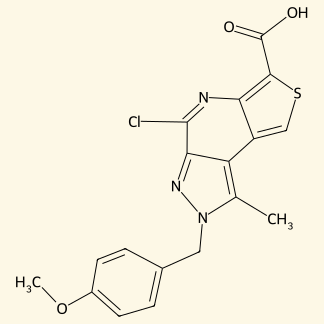 COc1ccc(Cn2nc3c(Cl)nc4c(C(=O)O)scc4c3c2C)cc1